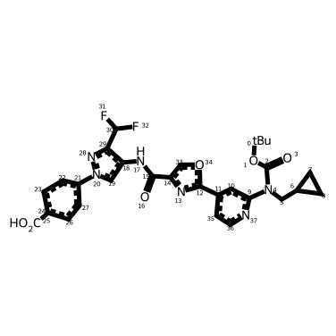 CC(C)(C)OC(=O)N(CC1CC1)c1cc(-c2nc(C(=O)Nc3cn(-c4ccc(C(=O)O)cc4)nc3C(F)F)co2)ccn1